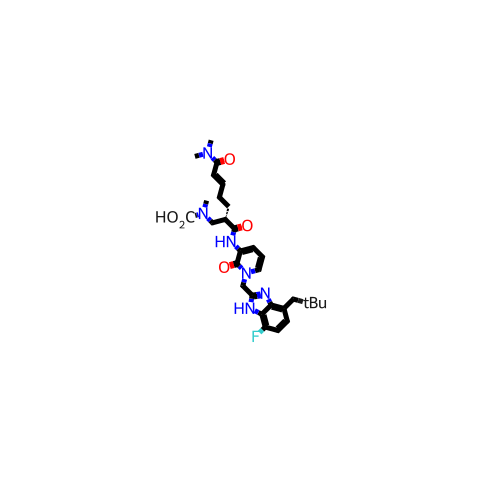 CN(C)C(=O)/C=C/CC[C@@H](CN(C)C(=O)O)C(=O)Nc1cccn(Cc2nc3c(CC(C)(C)C)ccc(F)c3[nH]2)c1=O